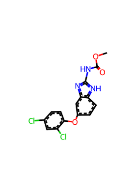 COC(=O)Nc1nc2cc(Oc3ccc(Cl)cc3Cl)ccc2[nH]1